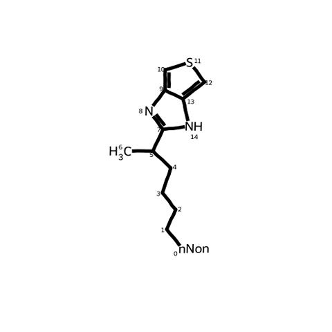 CCCCCCCCCCCCCC(C)c1nc2cscc2[nH]1